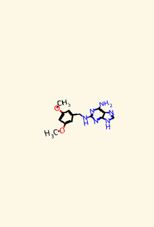 COc1cc(CNc2nc(N)c3nc[nH]c3n2)cc(OC)c1